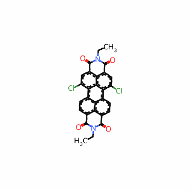 CCN1C(=O)c2ccc3c4c(Cl)cc5c6c(cc(Cl)c(c7ccc(c2c37)C1=O)c64)C(=O)N(CC)C5=O